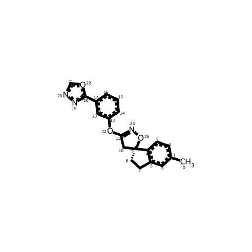 Cc1ccc2c(c1)CC[C@@]21CC(Oc2cccc(-c3nnco3)c2)=NO1